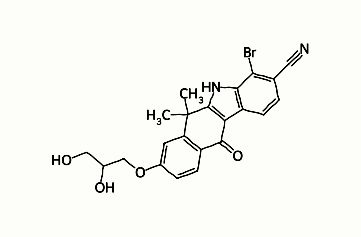 CC1(C)c2cc(OCC(O)CO)ccc2C(=O)c2c1[nH]c1c(Br)c(C#N)ccc21